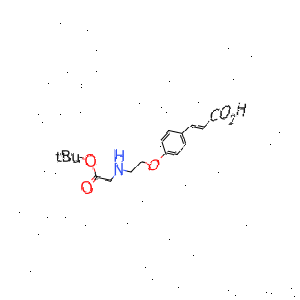 CC(C)(C)OC(=O)CNCCOc1ccc(C=CC(=O)O)cc1